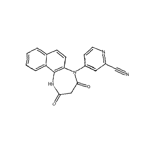 N#Cc1cc(N2C(=O)CC(=O)Nc3c2ccc2ccccc32)ccn1